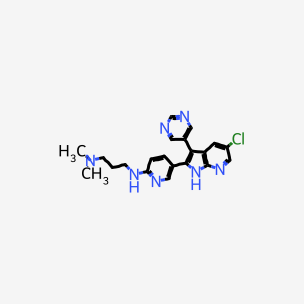 CN(C)CCCNc1ccc(-c2[nH]c3ncc(Cl)cc3c2-c2cncnc2)cn1